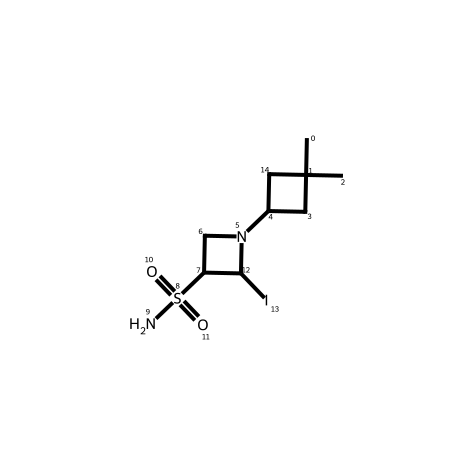 CC1(C)CC(N2CC(S(N)(=O)=O)C2I)C1